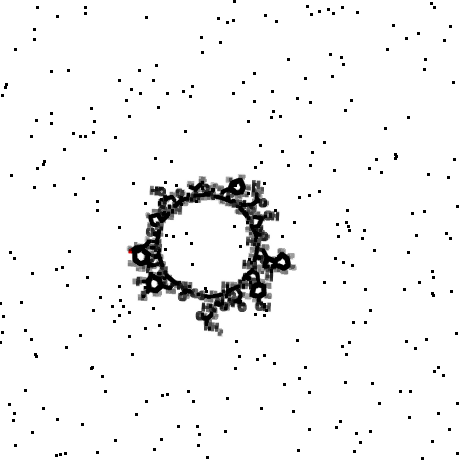 CCCC[C@H]1C(=O)N2CCC[C@@H]2C(=O)N[C@@H](CC(=O)O)C(=O)N[C@@H](C(C)C)C(=O)N(C)[C@@H](Cc2ccccc2)C(=O)N[C@@H](CCC(N)=O)C(=O)N2C[C@H](O)C[C@H]2C(=O)N[C@@H](Cc2c[nH]c3ccccc23)C(=O)N[C@@H](Cc2ccc(O)cc2)C(=O)N[C@@H](CC(N)=O)C(=O)N[C@H](C(=O)NCC(N)=O)CSCC(=O)N[C@@H](Cc2cc(F)c(F)c(F)c2)C(=O)N(C)[C@@H](Cc2ccccc2)C(=O)N1C